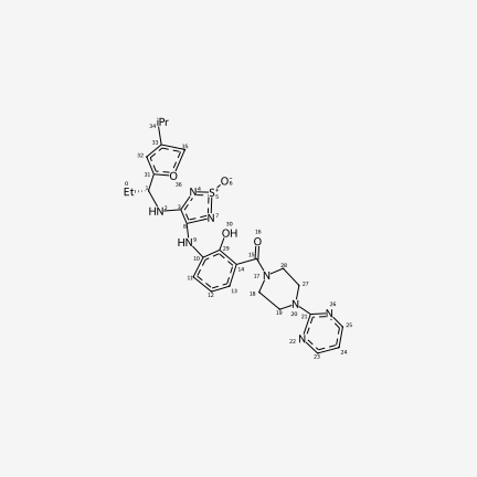 CC[C@@H](Nc1n[s+]([O-])nc1Nc1cccc(C(=O)N2CCN(c3ncccn3)CC2)c1O)c1cc(C(C)C)co1